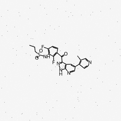 CCCS(=O)(=O)Nc1c(F)ccc(C(=O)c2n[nH]c3ncc(-c4ccncc4C)cc23)c1F